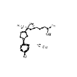 Cl.Cl.N[C@](CCCCB(O)O)(C(=O)O)C1CCN(c2ccc(Cl)cc2)C1